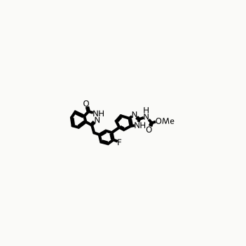 COC(=O)Nc1nc2ccc(-c3cc(Cc4n[nH]c(=O)c5ccccc45)ccc3F)cc2[nH]1